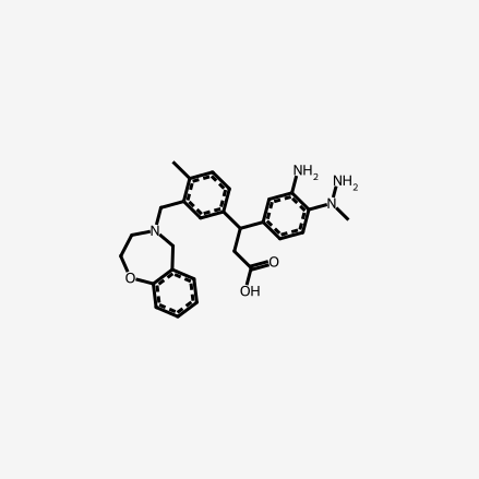 Cc1ccc(C(CC(=O)O)c2ccc(N(C)N)c(N)c2)cc1CN1CCOc2ccccc2C1